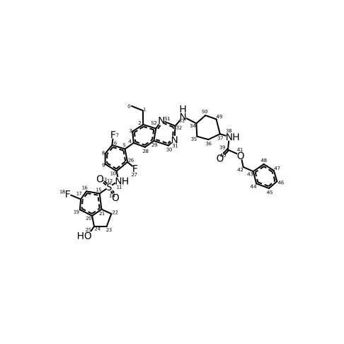 CCc1cc(-c2c(F)ccc(NS(=O)(=O)c3cc(F)cc4c3CCC4O)c2F)cc2cnc(NC3CCC(NC(=O)OCc4ccccc4)CC3)nc12